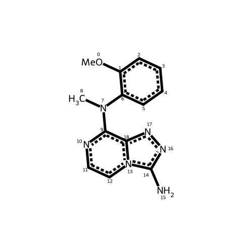 COc1ccccc1N(C)c1nccn2c(N)nnc12